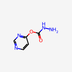 NNC(=O)Oc1ccncn1